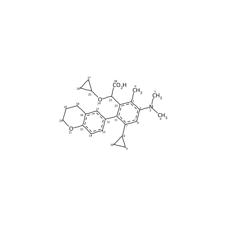 Cc1c(N(C)C)cc(C2CC2)c(-c2ccc3c(c2)CCCO3)c1C(OC1CC1)C(=O)O